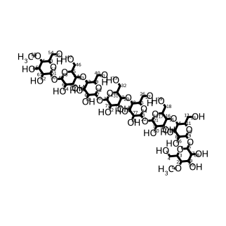 COC1C(CO)OC(OC2OC(CO)C(OC3C(CO)OC(OC4OC(CO)C(OC5C(CO)OC(OC6OC(CO)C(OC7C(CO)OC(OC8OC(CO)C(OC)C(O)C8O)C(O)C7O)C(O)C6O)C(O)C5O)C(O)C4O)C(O)C3O)C(O)C2O)C(O)C1O